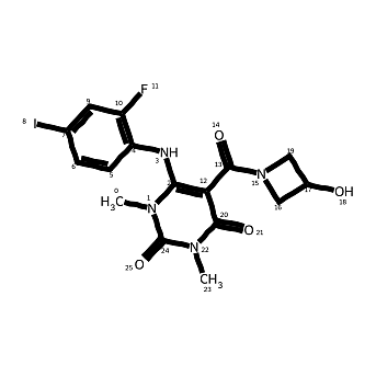 Cn1c(Nc2ccc(I)cc2F)c(C(=O)N2CC(O)C2)c(=O)n(C)c1=O